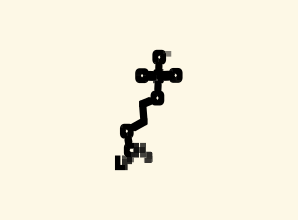 COCCOS(=O)(=O)[O-].[Li+]